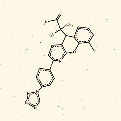 CC(C)(C(N)=O)C1c2ccc(-c3ccc(-n4cnnn4)cc3)nc2Oc2c(F)cccc21